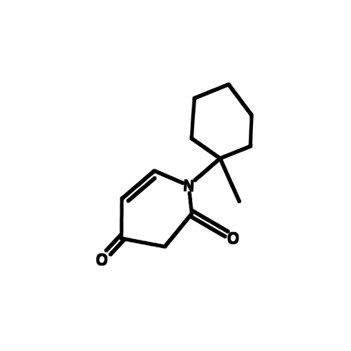 CC1(N2C=CC(=O)CC2=O)CCCCC1